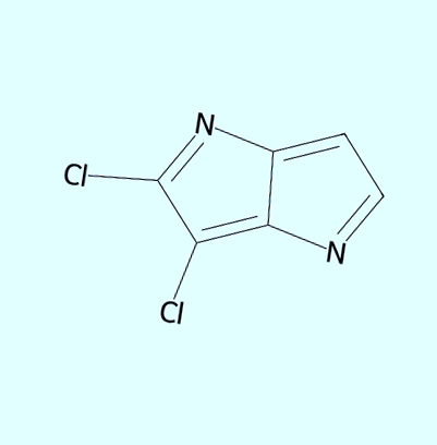 ClC1=NC2=CC=NC2=C1Cl